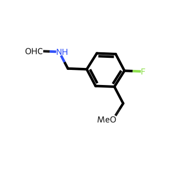 COCc1cc(CNC=O)ccc1F